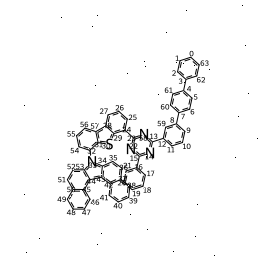 c1ccc(-c2ccc(-c3cccc(-c4nc(-c5ccccc5)nc(-c5cccc6c5sc5c(-n7c8ccc9ccccc9c8c8c9ccccc9ccc87)cccc56)n4)c3)cc2)cc1